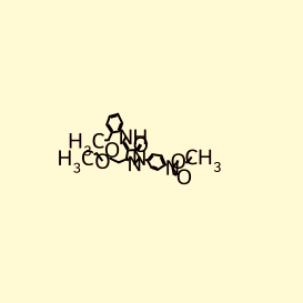 CCOC(=O)CC1=NN(c2ccc(N(C=O)OCC)cc2)C(=O)C1=CNc1ccccc1CC